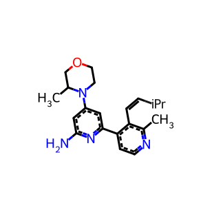 Cc1nccc(-c2cc(N3CCOCC3C)cc(N)n2)c1/C=C\C(C)C